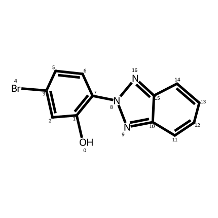 Oc1cc(Br)ccc1-n1nc2ccccc2n1